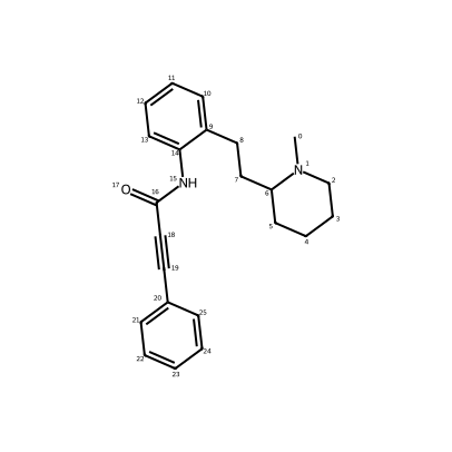 CN1CCCCC1CCc1ccccc1NC(=O)C#Cc1ccccc1